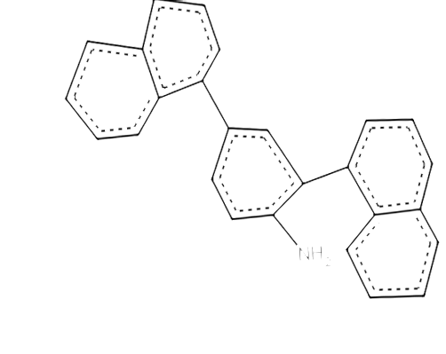 Nc1ccc(-c2cccc3ccccc23)cc1-c1cccc2ccccc12